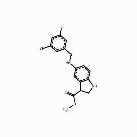 COC(=O)C1CNc2ccc(NSc3cc(Cl)cc(Cl)c3)cc21